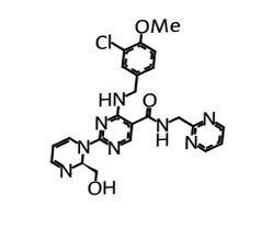 COc1ccc(CNc2nc(N3C=CC=N[C@@H]3CO)ncc2C(=O)NCc2ncccn2)cc1Cl